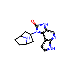 O=c1[nH]c2cnc3[nH]ccc3c2n1C1CC2CCC(C1)N2